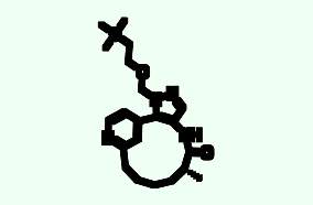 C[C@@H]1CCCCc2cc(ccn2)-c2c(cnn2COCC[Si](C)(C)C)NC1=O